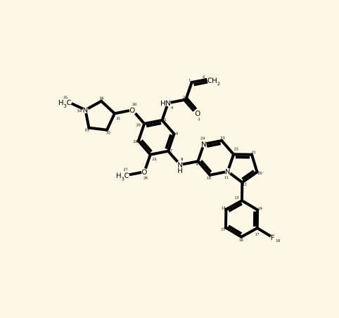 C=CC(=O)Nc1cc(Nc2cn3c(-c4cccc(F)c4)ccc3cn2)c(OC)cc1OC1CCN(C)C1